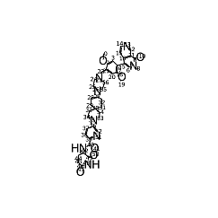 COc1cc(-c2cn(C)c(=O)c3cnccc23)c(OC)cc1CN1CCN(C2CCC3(CC2)CCN(c2ccc(C(=O)NC4CCC(=O)NC4=O)nc2)CC3)CC1